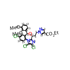 CCOC(=O)c1cnn(CCC2OC(c3cccc(OC)c3OC)c3cc(Cl)ccc3-n3c2nc(Cl)c3Cl)c1